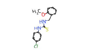 COc1ccccc1CNC(=S)Nc1ccc(Cl)cc1